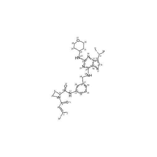 CC(C)=CC(=O)N1CCC1C(=O)Nc1cccc(CNc2nc(NC3CCOCC3)nc3c(C(C)C)cnn23)c1